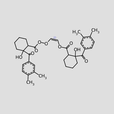 Cc1ccc(C(=O)C2(O)CCCCC2C(=O)O/C=C\OOC(=O)C2CCCCC2(O)C(=O)c2ccc(C)c(C)c2)cc1C